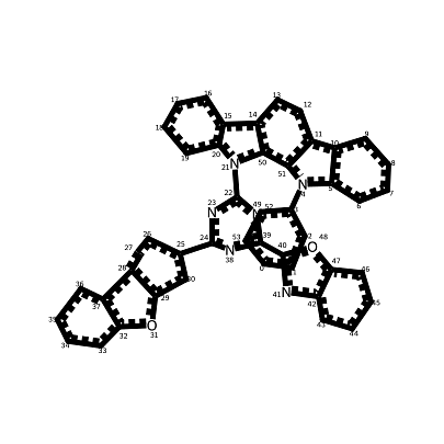 c1ccc(-n2c3ccccc3c3ccc4c5ccccc5n(-c5nc(-c6ccc7c(c6)oc6ccccc67)nc(-c6nc7ccccc7o6)n5)c4c32)cc1